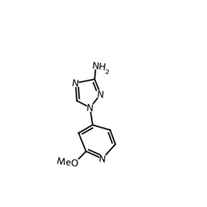 COc1cc(-n2cnc(N)n2)ccn1